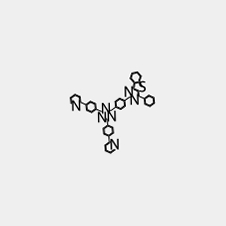 c1ccc(-c2nc(-c3ccc(-c4nc(-c5ccc(-c6ccccn6)cc5)nc(-c5ccc(-c6ccccn6)cc5)n4)cc3)nc3c2sc2ccccc23)cc1